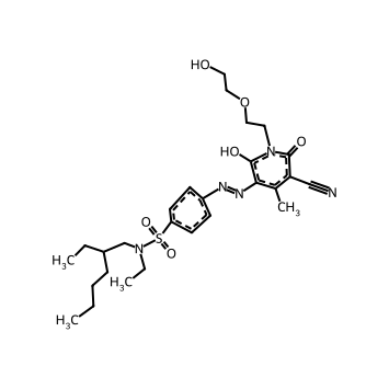 CCCCC(CC)CN(CC)S(=O)(=O)c1ccc(N=Nc2c(C)c(C#N)c(=O)n(CCOCCO)c2O)cc1